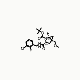 COC[C@@]12C[C@@H](C(=O)NCc3cccc(Cl)c3F)N(C(=O)OC(C)(C)C)[C@@H]1C2